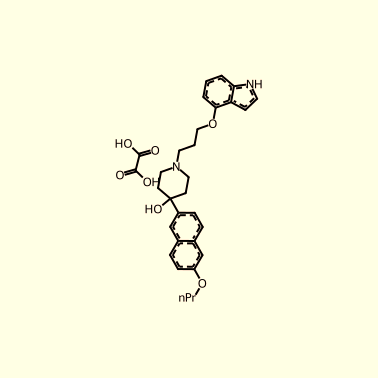 CCCOc1ccc2cc(C3(O)CCN(CCCOc4cccc5[nH]ccc45)CC3)ccc2c1.O=C(O)C(=O)O